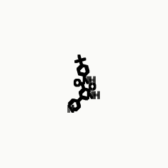 CC(C)(C)c1ccc(NC(=O)c2cc(-c3ccncc3)c[nH]c2=O)cc1